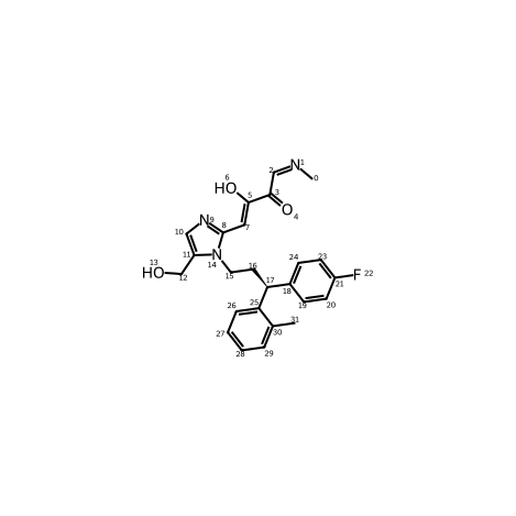 C/N=C\C(=O)/C(O)=C/c1ncc(CO)n1CC[C@@H](c1ccc(F)cc1)c1ccccc1C